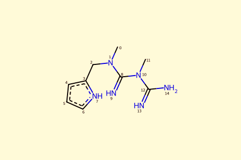 CN(Cc1ccc[nH]1)C(=N)N(C)C(=N)N